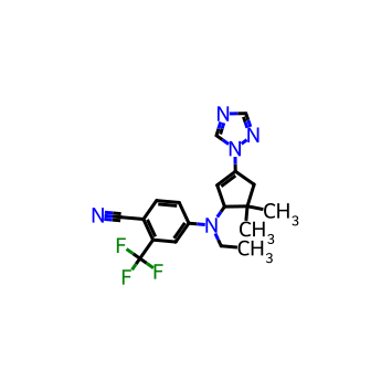 CCN(c1ccc(C#N)c(C(F)(F)F)c1)C1C=C(n2cncn2)CC1(C)C